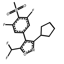 CS(=O)(=O)c1c(F)cc(-c2c(C3CCCC3)noc2C(F)F)cc1F